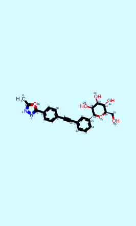 Cc1nnc(-c2ccc(C#Cc3cccc([C@H]4O[C@H](CO)[C@@H](O)[C@H](O)[C@@H]4O)c3)cc2)o1